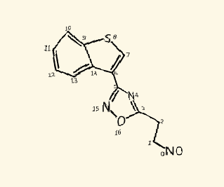 O=NCCc1nc(-c2csc3ccccc23)no1